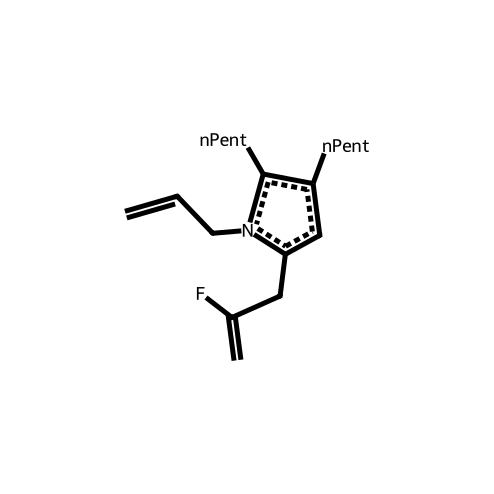 C=CCn1c(CC(=C)F)cc(CCCCC)c1CCCCC